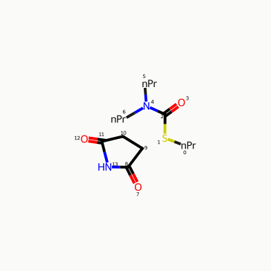 CCCSC(=O)N(CCC)CCC.O=C1CCC(=O)N1